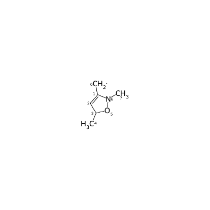 [CH2]C1=CC(C)ON1C